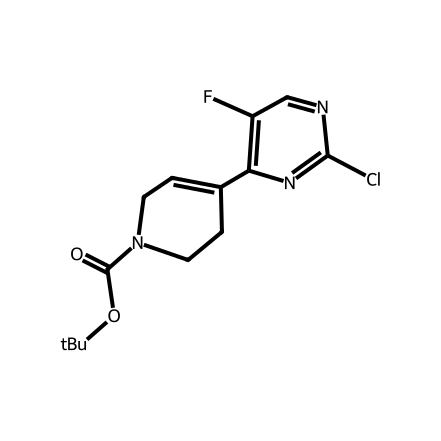 CC(C)(C)OC(=O)N1CC=C(c2nc(Cl)ncc2F)CC1